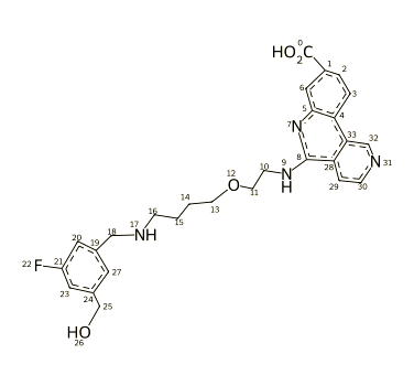 O=C(O)c1ccc2c(c1)nc(NCCOCCCCNCc1cc(F)cc(CO)c1)c1ccncc12